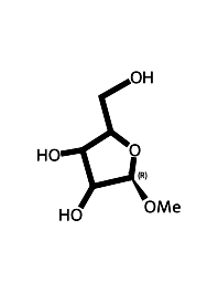 CO[C@@H]1OC(CO)C(O)C1O